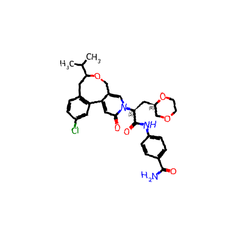 CC(C)C1Cc2ccc(Cl)cc2-c2cc(=O)n([C@@H](C[C@@H]3COCCO3)C(=O)Nc3ccc(C(N)=O)cc3)cc2CO1